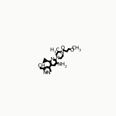 C=Cc1cc(-c2cc(N)c(N3CCN(C(=O)CCOC)[C@H](C)C3)nc2C2CC2)cnn1